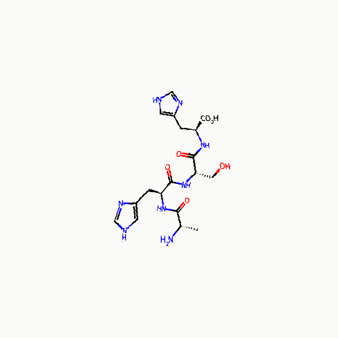 C[C@H](N)C(=O)N[C@@H](Cc1c[nH]cn1)C(=O)N[C@@H](CO)C(=O)N[C@@H](Cc1c[nH]cn1)C(=O)O